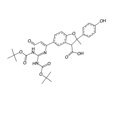 CC(C)(C)OC(=O)NC(=NC(=CC=O)c1ccc2c(c1)C(C(=O)O)C(C)(c1ccc(O)cc1)O2)NC(=O)OC(C)(C)C